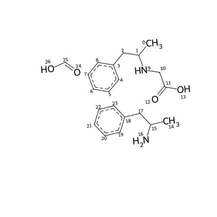 CC(Cc1ccccc1)NCC(=O)O.CC(N)Cc1ccccc1.O=CO